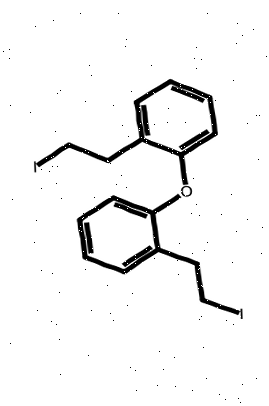 ICCc1ccccc1Oc1ccccc1CCI